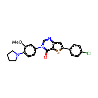 COc1cc(-n2cnc3cc(-c4ccc(Cl)cc4)sc3c2=O)ccc1N1CCCC1